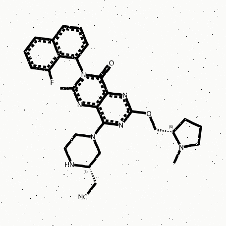 Cc1nc2c(N3CCN[C@@H](CC#N)C3)nc(OC[C@@H]3CCCN3C)nc2c(=O)n1-c1cccc2cccc(F)c12